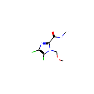 CCOCn1c(C(=O)NC(C)CC)nc(Cl)c1Cl